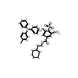 Cc1ccc([S+](c2ccccc2)c2ccccc2)cc1.O=C(OCCC1CCCCC1)c1cc([N+](=O)[O-])c(S(=O)(=O)[O-])c([N+](=O)[O-])c1